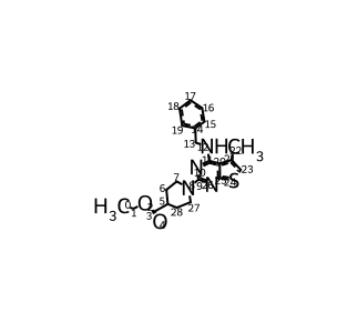 CCOC(=O)C1CCN(c2nc(NCc3ccccc3)c3c(C)csc3n2)CC1